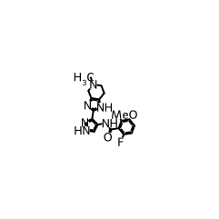 COc1cccc(F)c1C(=O)Nc1c[nH]nc1-c1nc2c([nH]1)CCN(C)C2